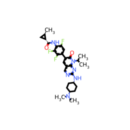 CC(C)n1c(=O)c(-c2cc(F)c(NC(=O)[C@@H]3C[C@@H]3C)c(F)c2F)cc2cnc(N[C@H]3CC[C@H](N(C)C)CC3)nc21